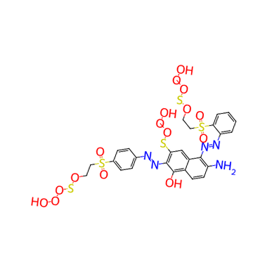 Nc1ccc2c(O)c(/N=N/c3ccc(S(=O)(=O)CCOSOOO)cc3)c(SOOO)cc2c1/N=N/c1ccccc1S(=O)(=O)CCOSOOO